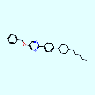 CCCCC[C@H]1CC[C@H](c2ccc(-c3ncc(OCc4ccccc4)cn3)cc2)CC1